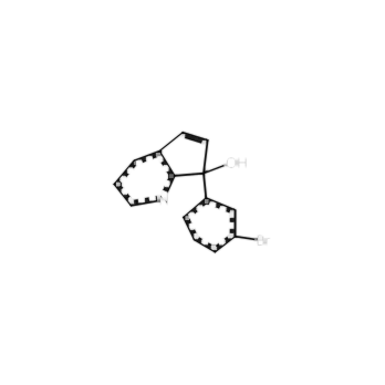 OC1(c2cccc(Br)c2)C=Cc2cccnc21